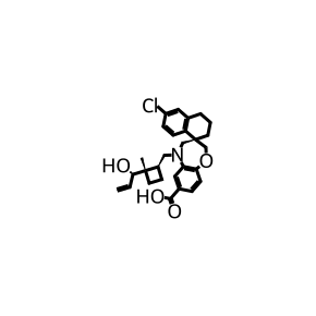 C=C[C@H](O)[C@@]1(C)CC[C@@H]1CN1C[C@@]2(CCCc3cc(Cl)ccc32)COc2ccc(C(=O)O)cc21